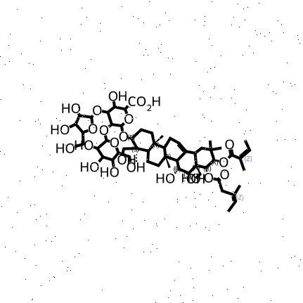 C/C=C(/C)CC(=O)O[C@H]1[C@H](OC(=O)/C(C)=C\C)C(C)(C)CC2C3=CCC4[C@@](C)(CCC5[C@]4(C)CC[C@H](OC4OC(C(=O)O)C(O)C(OC6OC(CO)C(O)C6O)C4OC4OC(CO)C(O)C(O)C4O)[C@]5(C)CO)C3[C@@H](O)[C@@H](O)[C@]21CO